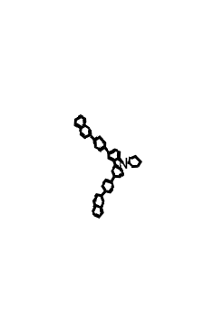 c1ccc2cc(-c3ccc(-c4ccc5c(c4)c4cc(-c6ccc(-c7ccc8ccccc8c7)cc6)ccc4n5C4CCCCC4)cc3)ccc2c1